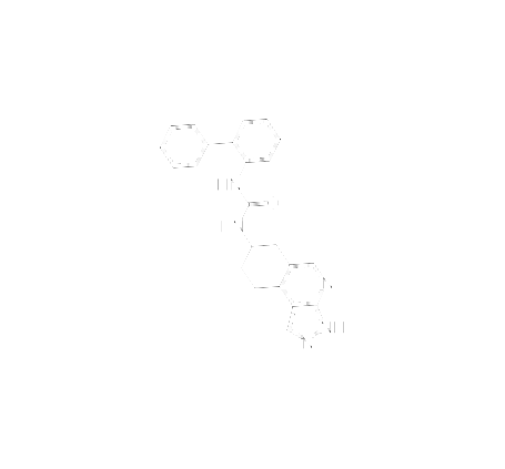 O=C(Nc1ccccc1-c1ccccc1)NC1CCc2c(cnc3[nH]ncc23)C1